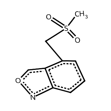 CS(=O)(=O)Cc1cccc2nocc12